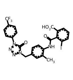 Cc1cc(Cn2nnn(-c3ccc(C(F)(F)F)cc3)c2=O)ccc1NC(=O)c1c(I)cccc1C(=O)O